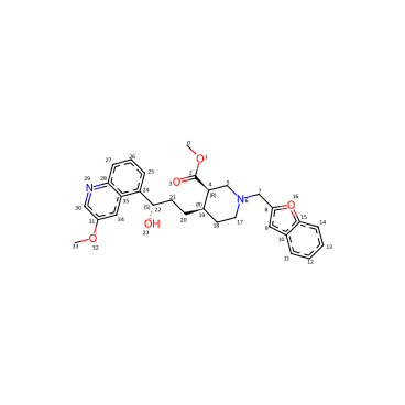 COC(=O)[C@H]1CN(Cc2cc3ccccc3o2)CC[C@H]1CC[C@H](O)c1cccc2ncc(OC)cc12